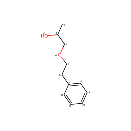 CC(O)COC[CH]c1ccccc1